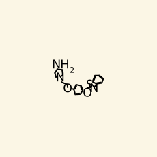 NC1CCN(CCOc2ccc(Oc3nc4ccccc4s3)cc2)CC1